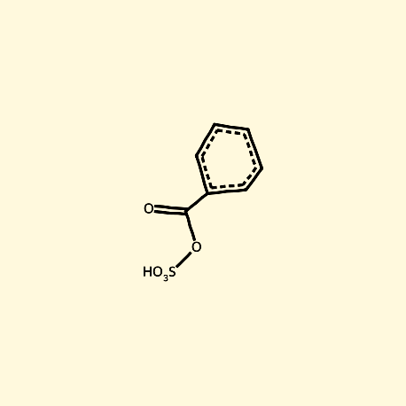 O=C(OS(=O)(=O)O)c1ccccc1